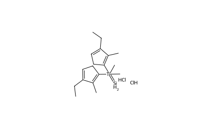 CCC1=CC[C]([Ti]([CH3])([CH3])(=[SiH2])[C]2=C(C)C(CC)=CC2)=C1C.Cl.Cl